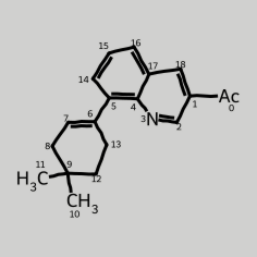 CC(=O)c1cnc2c(C3=CCC(C)(C)CC3)cccc2c1